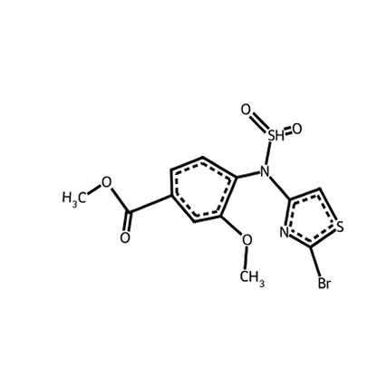 COC(=O)c1ccc(N(c2csc(Br)n2)[SH](=O)=O)c(OC)c1